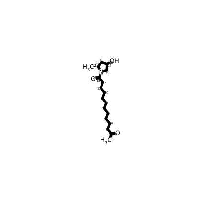 CC(=O)CCCCCCCCCCC(=O)N1CC(O)C[C@H]1C